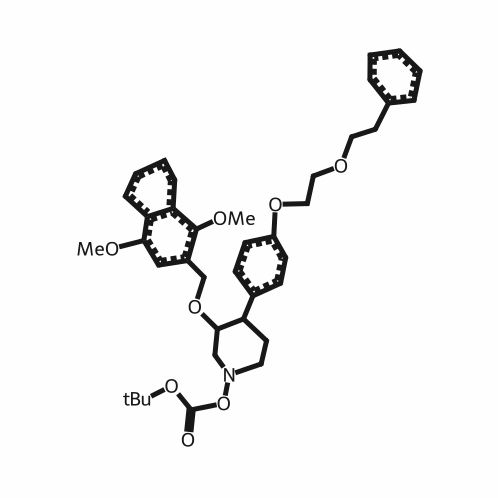 COc1cc(COC2CN(OC(=O)OC(C)(C)C)CCC2c2ccc(OCCOCCc3ccccc3)cc2)c(OC)c2ccccc12